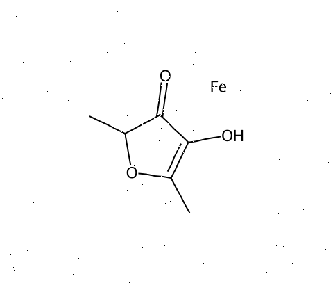 CC1=C(O)C(=O)C(C)O1.[Fe]